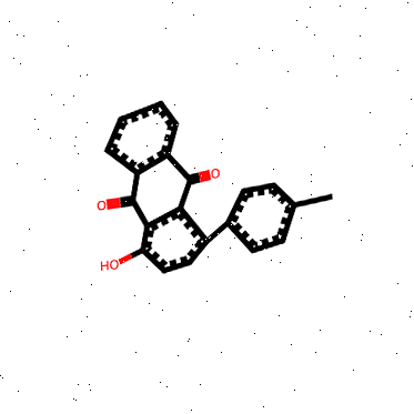 Cc1ccc(-c2ccc(O)c3c2C(=O)c2ccccc2C3=O)cc1